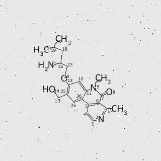 Cc1nccc2c1c(=O)n(C)c1cc(OCC(N)CC(C)C)c(CO)cc21